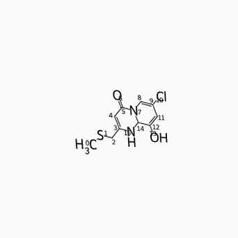 CSCC1=CC(=O)N2C=C(Cl)C=C(O)C2N1